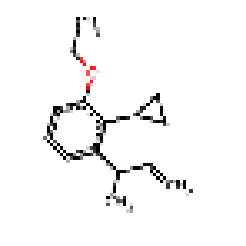 C=C[C](C)c1cccc(OCC)c1C1CC1